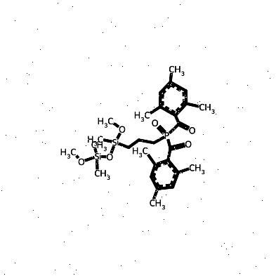 CO[Si](C)(C)O[Si](C)(CCCP(=O)(C(=O)c1c(C)cc(C)cc1C)C(=O)c1c(C)cc(C)cc1C)OC